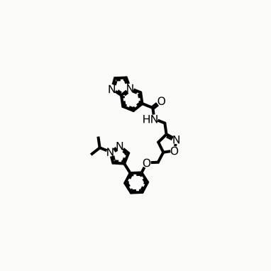 CC(C)n1cc(-c2ccccc2OCC2CC(CNC(=O)c3ccc4nccn4c3)=NO2)cn1